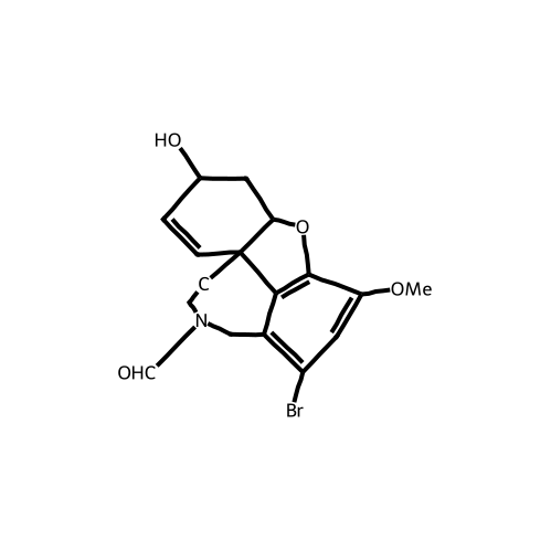 COc1cc(Br)c2c3c1OC1CC(O)C=CC31CCN(C=O)C2